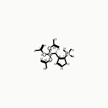 C=C(C)O[Si](CC1=[C]([Pt]([CH3])([CH3])[CH3])CC=C1)(OC(=C)C)OC(=C)C